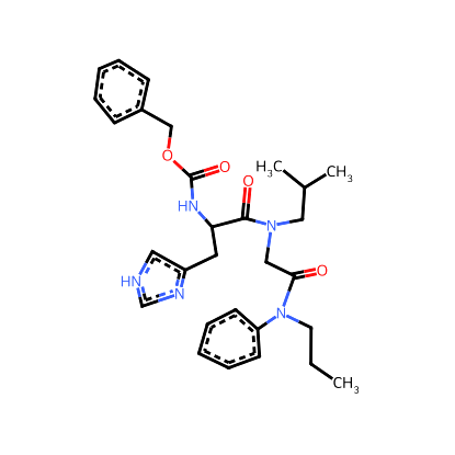 CCCN(C(=O)CN(CC(C)C)C(=O)C(Cc1c[nH]cn1)NC(=O)OCc1ccccc1)c1ccccc1